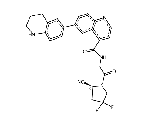 N#C[C@@H]1CC(F)(F)CN1C(=O)CNC(=O)c1ccnc2ccc(-c3ccc4c(c3)CCCN4)cc12